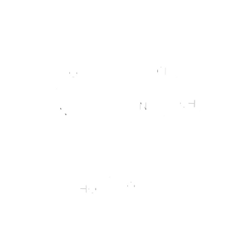 CCN(CC)c1cc(C(=O)O)cc(N2CCCC2=O)c1